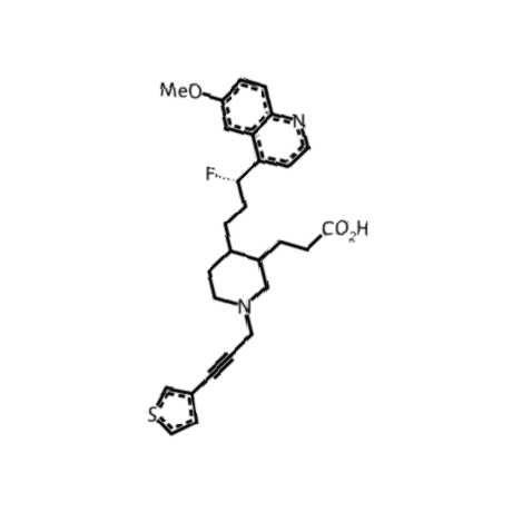 COc1ccc2nccc([C@@H](F)CCC3CCN(CC#Cc4ccsc4)CC3CCC(=O)O)c2c1